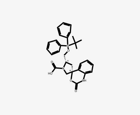 CC(C)(C)[Si](OC[C@@H]1C[C@@]2(CN1C(=O)O)OC(=O)Nc1ccccc12)(c1ccccc1)c1ccccc1